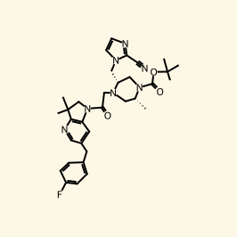 C[C@@H]1CN(CC(=O)N2CC(C)(C)c3ncc(Cc4ccc(F)cc4)cc32)[C@H](Cn2ccnc2C#N)CN1C(=O)OC(C)(C)C